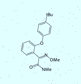 CNC(=O)C(=NOC)c1ccccc1Oc1ccc(C(C)(C)C)cc1